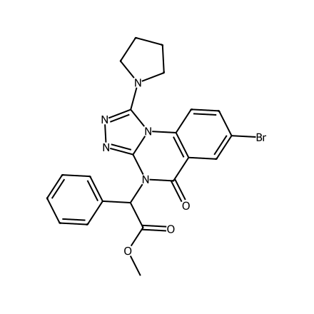 COC(=O)C(c1ccccc1)n1c(=O)c2cc(Br)ccc2n2c(N3CCCC3)nnc12